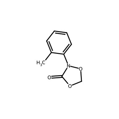 Cc1ccccc1N1OCOC1=O